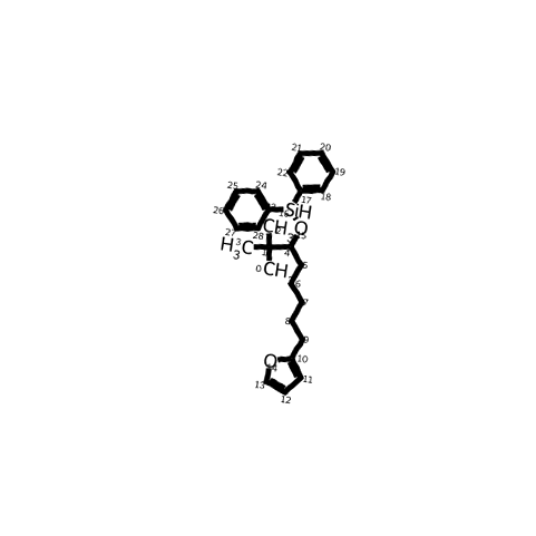 CC(C)(C)C(CCCCCc1ccco1)O[SiH](c1ccccc1)c1ccccc1